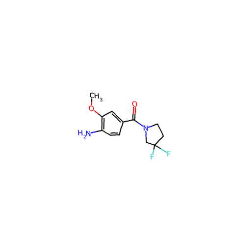 COc1cc(C(=O)N2CCC(F)(F)C2)ccc1N